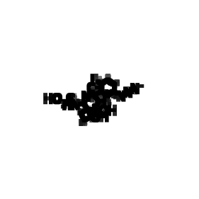 C[C@]1(c2cc(N=[N+]=[N-])ccc2F)N=C(NC(=O)O)C2(CCC2)S(O)(O)[C@@H]1F